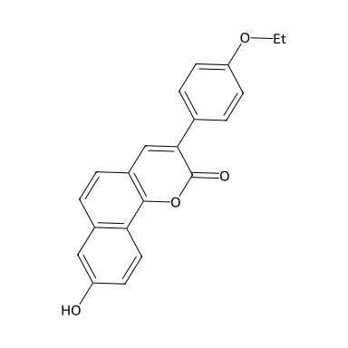 CCOc1ccc(-c2cc3ccc4cc(O)ccc4c3oc2=O)cc1